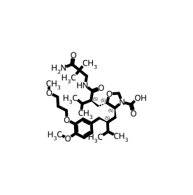 COCCCOc1cc(C[C@@H](C[C@H]2[C@H](C[C@H](C(=O)NCC(C)(C)C(N)=O)C(C)C)OCN2C(=O)O)C(C)C)ccc1OC